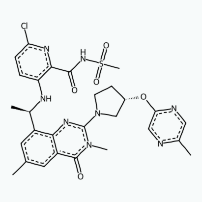 Cc1cc([C@@H](C)Nc2ccc(Cl)nc2C(=O)NS(C)(=O)=O)c2nc(N3CC[C@H](Oc4cnc(C)cn4)C3)n(C)c(=O)c2c1